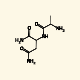 CC(N)C(=O)NC(CC(N)=O)C(N)=O